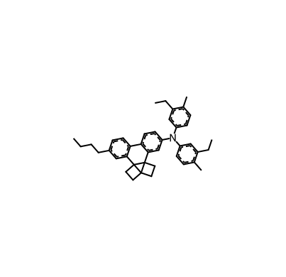 CCCCc1ccc2c(c1)C13CCC14CCC43c1cc(N(c3ccc(C)c(CC)c3)c3ccc(C)c(CC)c3)ccc1-2